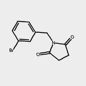 O=C1CCC(=O)N1Cc1cccc(Br)c1